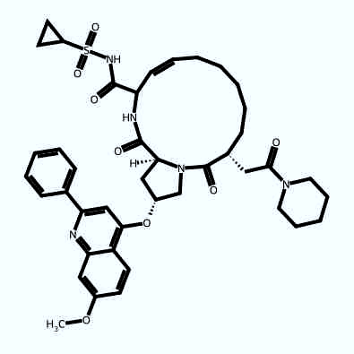 COc1ccc2c(O[C@@H]3C[C@H]4C(=O)NC(C(=O)NS(=O)(=O)C5CC5)/C=C\CCCCC[C@H](CC(=O)N5CCCCC5)C(=O)N4C3)cc(-c3ccccc3)nc2c1